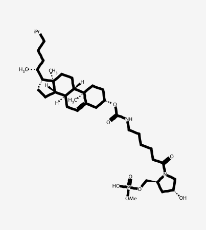 COP(=O)(O)OC[C@@H]1C[C@@H](O)CN1C(=O)CCCCCNC(=O)O[C@H]1CC[C@@]2(C)C(=CC[C@H]3[C@@H]4CC[C@H]([C@H](C)CCCC(C)C)[C@@]4(C)CC[C@@H]32)C1